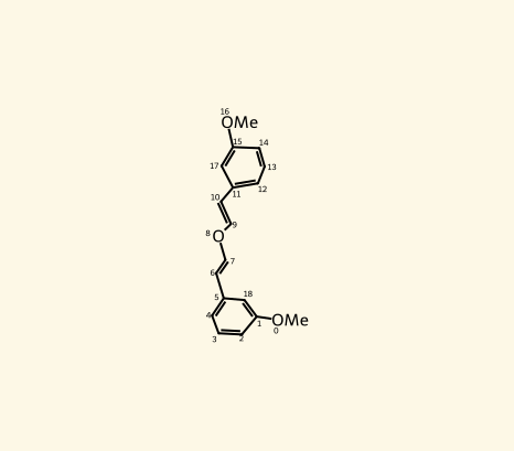 COc1cccc(C=COC=Cc2cccc(OC)c2)c1